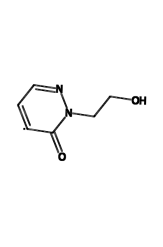 O=c1[c]ccnn1CCO